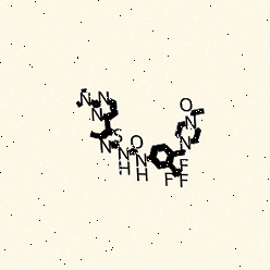 CC(=O)N1CCN(Cc2ccc(NC(=O)Nc3nc(C)c(-c4ccnc(N(C)C)n4)s3)cc2C(F)(F)F)CC1